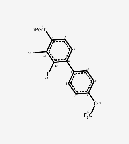 CCCCCc1ccc(-c2ccc(OC(F)(F)F)cc2)c(F)c1F